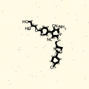 N#Cc1c(N)nc(SCc2coc(-c3ccc(Cl)cc3)n2)c(C#N)c1-c1ccc(OC[C@H](O)CO)nc1